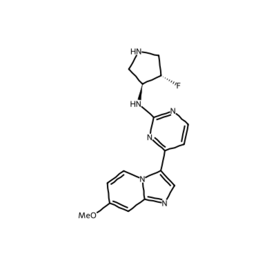 COc1ccn2c(-c3ccnc(N[C@H]4CNC[C@@H]4F)n3)cnc2c1